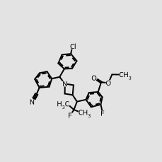 CCOC(=O)c1cc(F)cc(C(C2CN(C(c3ccc(Cl)cc3)c3cccc(C#N)c3)C2)C(C)(C)F)c1